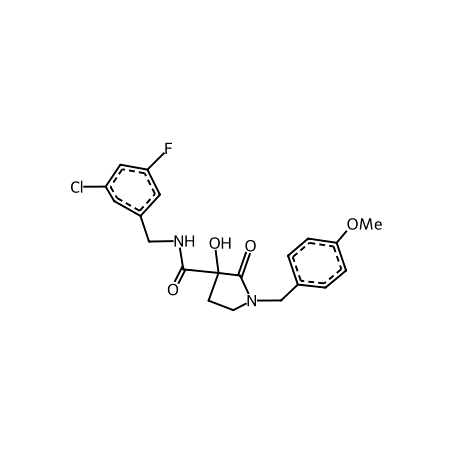 COc1ccc(CN2CCC(O)(C(=O)NCc3cc(F)cc(Cl)c3)C2=O)cc1